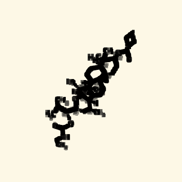 CCNC(=O)O[C@H](C(C)C)[C@H]1C[C@@H](C)[C@H]2[C@H](O1)[C@H](O)[C@@]1(C)[C@@H]3CC[C@H]4C(C)(C)[C@@H](OC(=O)N5CCC5)CC[C@@]45C[C@@]35CC[C@]21C